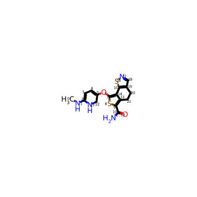 CNC1=CC=C(Oc2sc(C(N)=O)c3c2-c2sncc2CC3)CN1